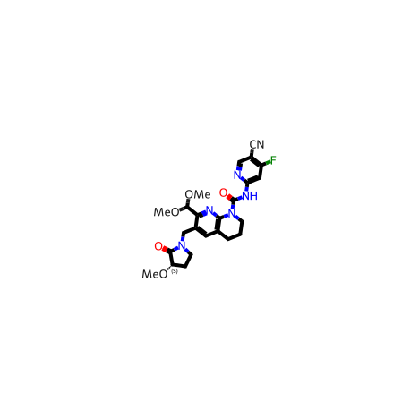 COC(OC)c1nc2c(cc1CN1CC[C@H](OC)C1=O)CCCN2C(=O)Nc1cc(F)c(C#N)cn1